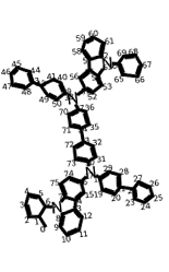 CC1C=CC=CC1n1c2ccccc2c2cc(N(c3ccc(-c4ccccc4)cc3)c3ccc(-c4ccc(N(C5=CCC(c6ccccc6)C=C5)c5ccc6c(c5)c5ccccc5n6-c5ccccc5)cc4)cc3)ccc21